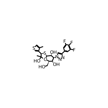 Cc1cscc1[C@@H](S[C@@H]1O[C@H](CO)[C@H](O)[C@H](n2cc(-c3cc(F)c(F)c(F)c3)nn2)[C@H]1O)C(C)(C)O